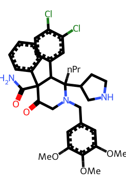 CCCC1(C2CCNC2)C(c2ccc(Cl)c(Cl)c2)C(C(N)=O)(c2ccccc2)C(=O)CN1Cc1cc(OC)c(OC)c(OC)c1